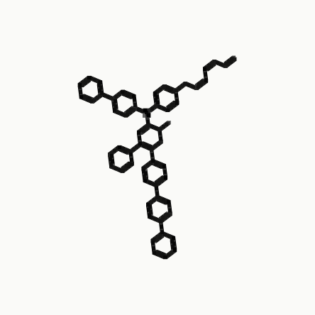 C=C/C=C\C=C/Cc1ccc(N(C2=CC(c3ccccc3)=C(c3ccc(-c4ccc(-c5ccccc5)cc4)cc3)CC2C)c2ccc(-c3ccccc3)cc2)cc1